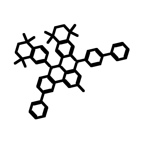 Cc1cc2c3c(c1)N(c1ccc(-c4ccccc4)cc1)c1cc4c(cc1B3N(c1ccc3c(c1)C(C)(C)CCC3(C)C)c1ccc(-c3ccccc3)cc1-2)C(C)(C)CCC4(C)C